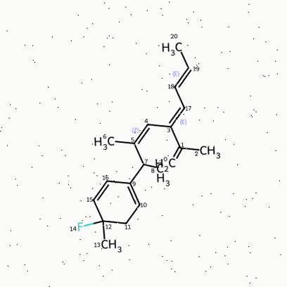 C=C(C)C(/C=C(/C)C(C)C1=CCC(C)(F)C=C1)=C/C=C/C